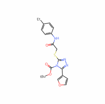 CCc1ccc(NC(=O)CSc2nnc(-c3ccoc3)n2C(=O)OC(C)(C)C)cc1